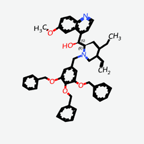 C=CC1CN(Cc2cc(OCc3ccccc3)c(OCc3ccccc3)c(OCc3ccccc3)c2)[C@@H]([C@@H](O)c2ccnc3ccc(OC)cc23)CC1CC